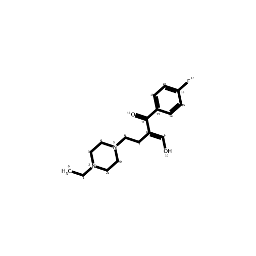 CCN1CCN(CC/C(=C\O)C(=O)c2ccc(F)cc2)CC1